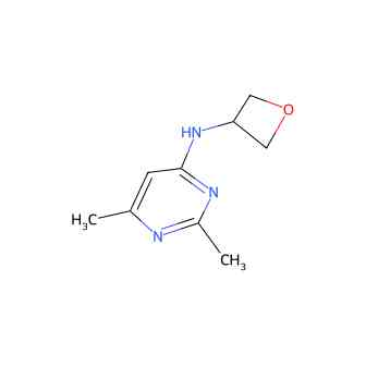 Cc1cc(NC2COC2)nc(C)n1